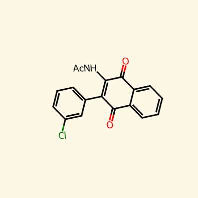 CC(=O)NC1=C(c2cccc(Cl)c2)C(=O)c2ccccc2C1=O